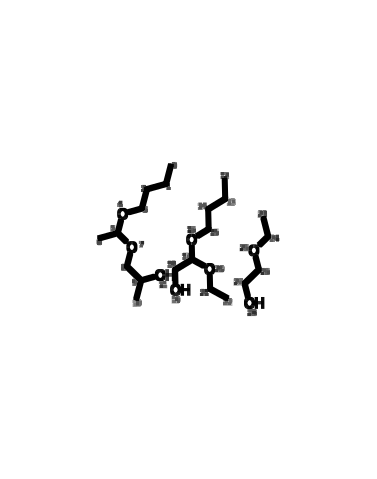 CCCCOC(C)OCC(C)O.CCCCOC(CO)OCC.CCOCCO